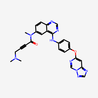 CN(C)CC#CC(=O)N(C)c1ccc2ncnc(Nc3ccc(Oc4cc5ncnn5cn4)cc3)c2c1